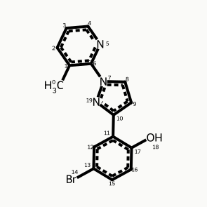 Cc1cccnc1-n1ccc(-c2cc(Br)ccc2O)n1